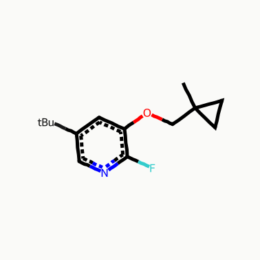 CC1(COc2cc(C(C)(C)C)cnc2F)CC1